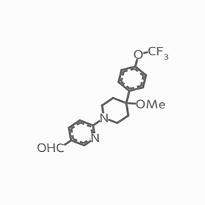 COC1(c2ccc(OC(F)(F)F)cc2)CCN(c2ccc(C=O)cn2)CC1